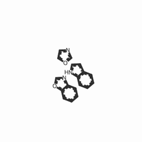 c1ccc2[nH]ccc2c1.c1ccc2ocnc2c1.c1cocn1